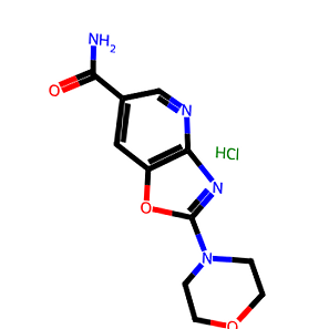 Cl.NC(=O)c1cnc2nc(N3CCOCC3)oc2c1